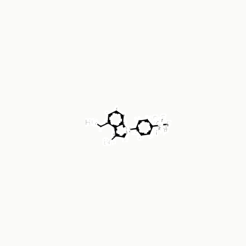 OCc1cccc2c1c(Br)cn2-c1ccc(S(F)(F)(F)(F)F)cc1